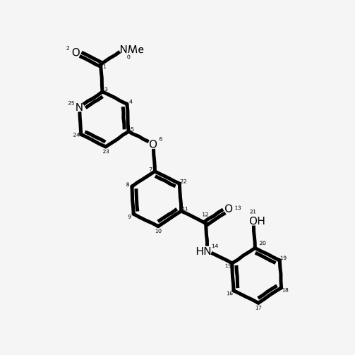 CNC(=O)c1cc(Oc2cccc(C(=O)Nc3ccccc3O)c2)ccn1